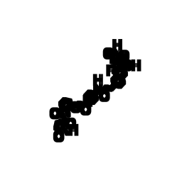 O=C(C=Cc1ccc2cc(O)c(N3CC(=O)NS3(=O)=O)c(F)c2c1)NC1CCN(C(=O)COc2cccc3c2CN(C2CCC(=O)NC2=O)C3=O)CC1